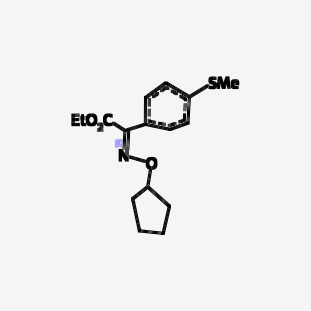 CCOC(=O)/C(=N/OC1CCCC1)c1ccc(SC)cc1